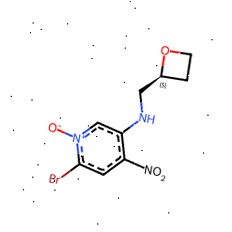 O=[N+]([O-])c1cc(Br)[n+]([O-])cc1NC[C@@H]1CCO1